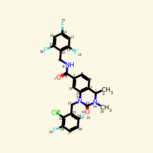 CC1c2ccc(C(=O)NCc3c(F)cc(F)cc3F)cc2N(Cc2c(F)ccc(F)c2Cl)C(=O)N1C